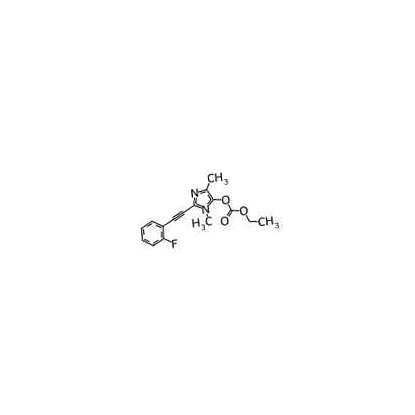 CCOC(=O)Oc1c(C)nc(C#Cc2ccccc2F)n1C